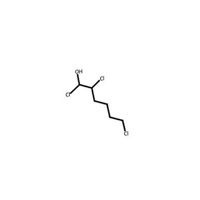 OC(Cl)C(Cl)CCCCCl